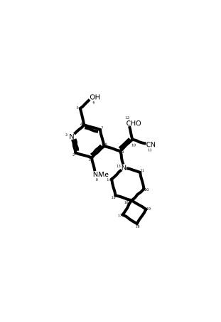 CNc1cnc(CO)cc1/C(=C(/C#N)C=O)N1CCC2(CCC2)CC1